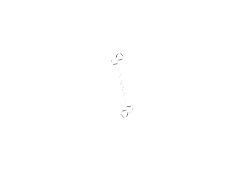 C[n+]1ccc(OCCCCCCCCCCOc2cc[n+](C)c3ccccc23)c2ccccc21